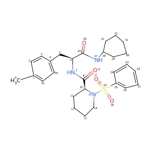 Cc1ccc(C[C@H](NC(=O)[C@@H]2CCCCN2S(=O)(=O)c2ccccc2)C(=O)NC2CCCCC2)cc1